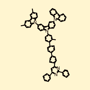 Cc1ccc2c(c1)c1cc(C)ccc1n2-c1ccc2c(c1)c1cc(-n3c4ccccc4c4ccccc43)ccc1n2-c1ccc(-c2ccc(-c3ccc(-c4cc(-c5ccccc5)nc(-c5ccccc5)n4)cc3)cc2)c(C)c1